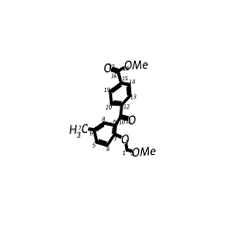 COCOc1ccc(C)cc1C(=O)c1ccc(C(=O)OC)cc1